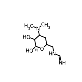 CN(C)C1CC(CNC=N)O[C@@H](O)C1O